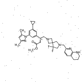 COC(=O)C[C@H](CN1CC2(CN(Cc3ccc4c(n3)NCCC4)CC2(F)F)C1)c1cc(C2CC2)cc(-n2nc(C)cc2C)c1